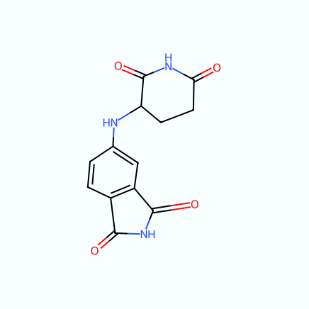 O=C1CCC(Nc2ccc3c(c2)C(=O)NC3=O)C(=O)N1